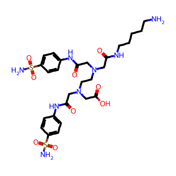 NCCCCCNC(=O)CN(CCN(CC(=O)O)CC(=O)Nc1ccc(S(N)(=O)=O)cc1)CC(=O)Nc1ccc(S(N)(=O)=O)cc1